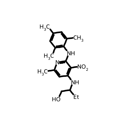 CCC(CO)Nc1cc(C)nc(Nc2c(C)cc(C)cc2C)c1[N+](=O)[O-]